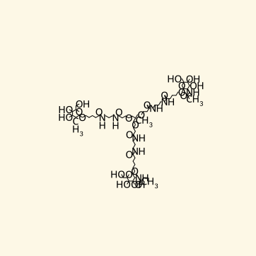 CC(=O)NC1C(OCCCCC(=O)NCCCNC(=O)CCOCC(C)(COCCC(=O)NCCCNC(=O)CCCCOC2OC(CO)C(O)C(O)C2C)COCCC(=O)NCCCNC(=O)CCCCOC2OC(CO)C(O)C(O)C2NC(C)=O)OC(CO)C(O)C1O